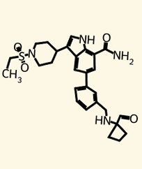 CCS(=O)(=O)N1CCC(c2c[nH]c3c(C(N)=O)cc(-c4cccc(CNC5(C=O)CCC5)c4)cc23)CC1